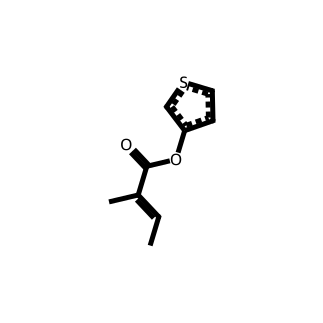 CC=C(C)C(=O)Oc1ccsc1